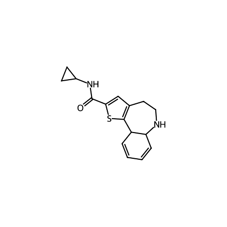 O=C(NC1CC1)c1cc2c(s1)C1C=CC=CC1NCC2